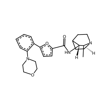 C[C@H]1[C@H](NC(=O)c2ccc(-c3ccccc3N3CCOCC3)o2)C2CCN1CC2